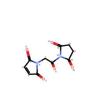 O=C1C=CC(=O)N1CC(=O)N1C(=O)CCC1=O